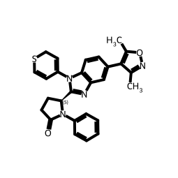 Cc1noc(C)c1-c1ccc2c(c1)nc([C@@H]1CCC(=O)N1c1ccccc1)n2C1=CCSC=C1